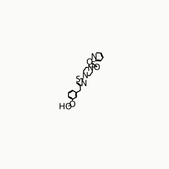 O=S(=O)(c1ccccn1)N1CCN(c2nc(Cc3cccc(OO)c3)cs2)CC1